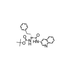 CC(C)(C)OC(=O)N[C@H](CCc1ccccc1)C(=O)Nc1cnc2ccccc2c1